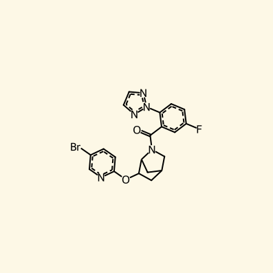 O=C(c1cc(F)ccc1-n1nccn1)N1CC2CC(Oc3ccc(Br)cn3)C1C2